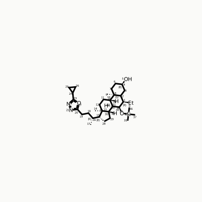 CC[C@@H]1C2C[C@H](O)CC[C@]2(C)[C@H]2CC[C@]3(C)[C@@H]([C@H](C)CCc4nnc(C5CC5)o4)CC[C@H]3[C@@H]2[C@@H]1O[Si](C)(C)C